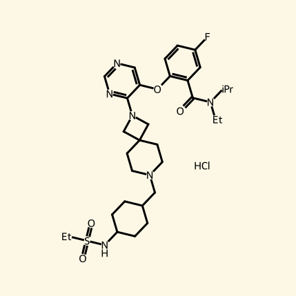 CCN(C(=O)c1cc(F)ccc1Oc1cncnc1N1CC2(CCN(CC3CCC(NS(=O)(=O)CC)CC3)CC2)C1)C(C)C.Cl